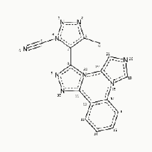 Cc1nnn(C#N)c1-c1nnc2c3ccccc3n3cncc3n12